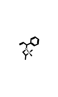 C=CC(c1ccccc1)N1CC(C)[Si]1(C)C